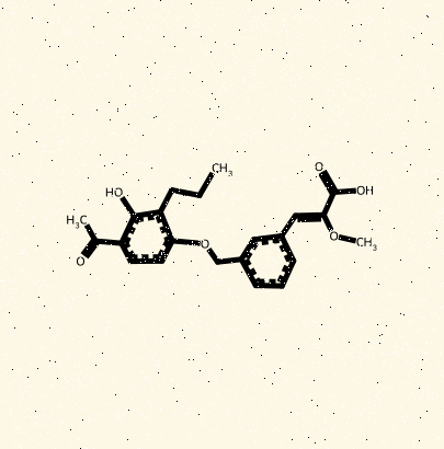 CCCc1c(OCc2cccc(C=C(OC)C(=O)O)c2)ccc(C(C)=O)c1O